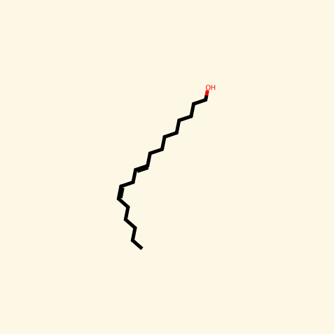 CCCCC/C=C\C/C=C/CCCCCCCCO